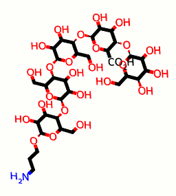 NCCCO[C@H]1OC(CO)[C@H](O[C@H]2OC(CO)[C@@H](O[C@@H]3OC(CO)[C@@H](O[C@@H]4OC(C(=O)O)[C@@H](O[C@H]5OC(CO)[C@H](O)C(O)C5O)C(O)C4O)C(O)C3O)C(O)C2O)C(O)C1O